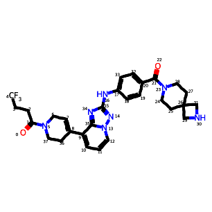 O=C(CCC(F)(F)F)N1CC=C(c2cccn3nc(Nc4ccc(C(=O)N5CCC6(CC5)CNC6)cc4)nc23)CC1